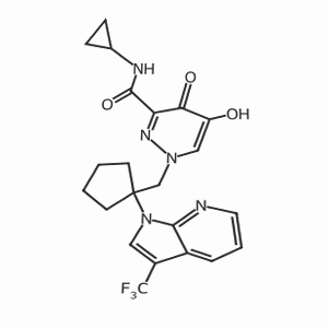 O=C(NC1CC1)c1nn(CC2(n3cc(C(F)(F)F)c4cccnc43)CCCC2)cc(O)c1=O